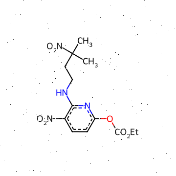 CCOC(=O)Oc1ccc([N+](=O)[O-])c(NCCC(C)(C)[N+](=O)[O-])n1